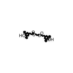 CC(C)(C)c1cc(CCC(=O)OCCCOC(=O)CCc2cc(C(C)(C)C)c(O)c(C(C)(C)C)c2)cc(C(C)(C)C)c1O